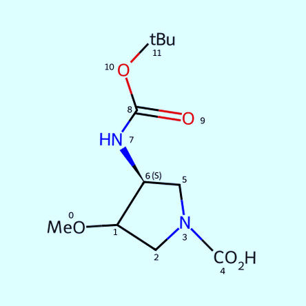 COC1CN(C(=O)O)C[C@@H]1NC(=O)OC(C)(C)C